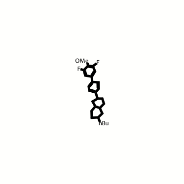 CCCCC1CCC2CC(c3ccc(-c4cc(F)c(OC)c(F)c4)cc3)CCC2C1